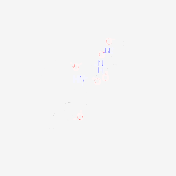 Cc1cccc(C(=O)NC(COCc2ccccc2)C(=O)Nc2ccc(Oc3ccccc3)cc2)c1[N+](=O)[O-]